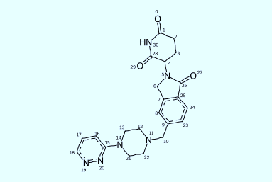 O=C1CCC(N2Cc3cc(CN4CCN(c5cccnn5)CC4)ccc3C2=O)C(=O)N1